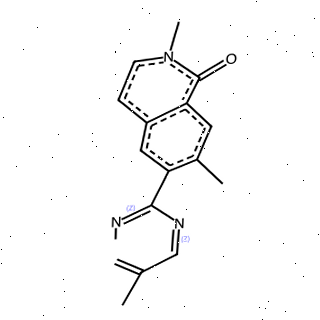 C=C(C)/C=N\C(=N/C)c1cc2ccn(C)c(=O)c2cc1C